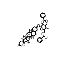 CC1C(COC(=O)c2ccccc2)O[C@@H](O[C@H]2CC[C@@]3(C)C(=CC[C@H]4[C@@H]5C[C@@H]6O[C@]7(CC[C@@H](C)CO7)[C@@H](C)[C@@H]6[C@@]5(C)CC[C@@H]43)C2)C(OC(=O)c2ccccc2)C1C